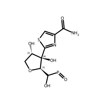 NC(=O)c1csc([C@]2(O)[C@@H](C(O)P=O)OC[C@@H]2O)n1